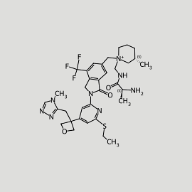 CCSc1cc(C2(Cc3nncn3C)COC2)cc(N2Cc3c(cc(C[N+]4(CNC(=O)[C@H](C)N)CCC[C@H](C)C4)cc3C(F)(F)F)C2=O)n1